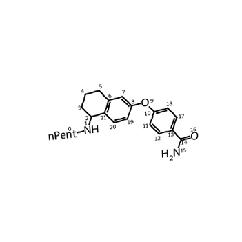 CCCCCNC1CCCc2cc(Oc3ccc(C(N)=O)cc3)ccc21